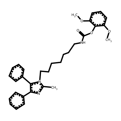 COc1cccc(OC)c1OC(=O)NCCCCCCCn1c(C)nc(-c2ccccc2)c1-c1ccccc1